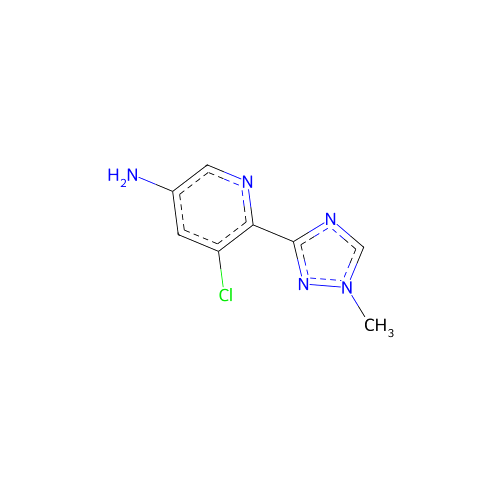 Cn1cnc(-c2ncc(N)cc2Cl)n1